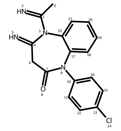 CC(=N)N1C(=N)CC(=O)N(c2ccc(Cl)cc2)c2ccccc21